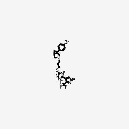 Cn1cc(-c2nnc(SCCCN3CC4CC4(c4ccc(Br)cc4)C3)n2C)c(C(F)(F)F)n1